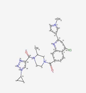 CC1CN(C(=O)c2ccc3c(Cl)cc(-c4ccn(C)c4)nc3c2)CCN1C(=O)c1cn(C2CC2)nn1